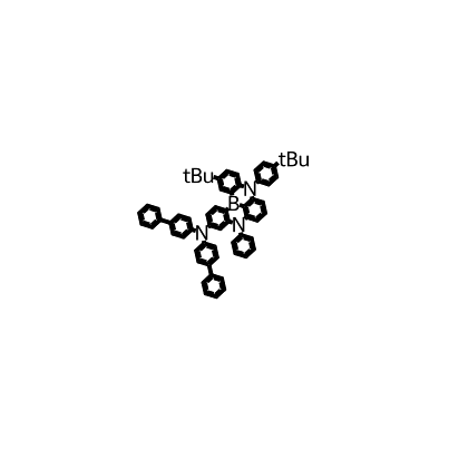 CC(C)(C)c1ccc(N2c3ccc(C(C)(C)C)cc3B3c4ccc(N(c5ccc(-c6ccccc6)cc5)c5ccc(-c6ccccc6)cc5)cc4N(c4ccccc4)c4cccc2c43)cc1